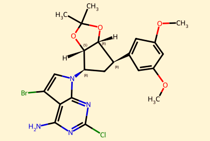 COc1cc(OC)cc([C@H]2C[C@@H](n3cc(Br)c4c(N)nc(Cl)nc43)[C@@H]3OC(C)(C)O[C@@H]32)c1